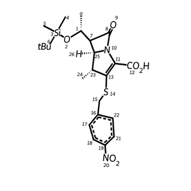 C[C@@H](O[Si](C)(C)C(C)(C)C)C1C(=O)N2C(C(=O)O)=C(SCc3ccc([N+](=O)[O-])cc3)[C@H](C)[C@@H]12